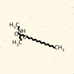 CC[CH]NC(=O)C(CCC)COCCCCCCCCCCCCCCC